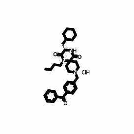 CCCCN1C(=O)[C@H](CC2CCCCC2)NC(=O)C12CCN(Cc1ccc(C(=O)c3ccccc3)cc1)CC2.Cl